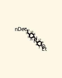 [CH2]COc1ccc(N=Nc2ccc(CCCCCCCCCCCC)cc2)cc1